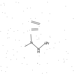 C=C.C=C.CCCNN(C)C